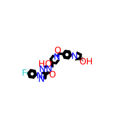 O=C(c1ccc(N2CC[C@H](O)C2)cc1)N1CCC(O)(Cn2cnc3c(cnn3-c3ccc(F)cc3)c2=O)CC1